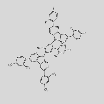 Cc1ccc(-c2ccc3c(c2)c2cc(-c4ccc(F)cc4F)ccc2n3-c2cc(C#N)c(-n3c4ccc(-c5ccc(C(F)(F)F)cc5C(F)(F)F)cc4c4cc(-c5ccc(C(F)(F)F)cc5C(F)(F)F)ccc43)cc2-c2ccc(F)cc2C#N)c(F)c1